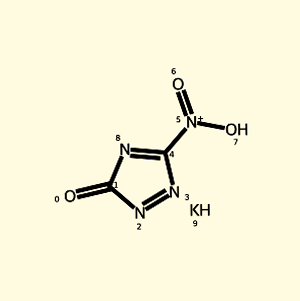 O=C1N=NC([N+](=O)O)=N1.[KH]